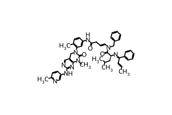 C/C=C/C(=N\[C@@H](CC(C)C)C(=O)N(/C=C/CC(=O)Nc1ccc(C)c(N2Cc3cnc(Nc4ccc(C)nc4)nc3N(C)C2=O)c1)Cc1ccccc1)c1ccccc1